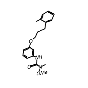 CON(C)C(=O)Nc1cccc(OCCCc2ccccc2C)c1